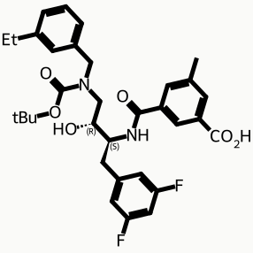 CCc1cccc(CN(C[C@@H](O)[C@H](Cc2cc(F)cc(F)c2)NC(=O)c2cc(C)cc(C(=O)O)c2)C(=O)OC(C)(C)C)c1